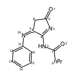 CCCC(=O)NC1=NC(=O)CS1=Nc1ccccc1